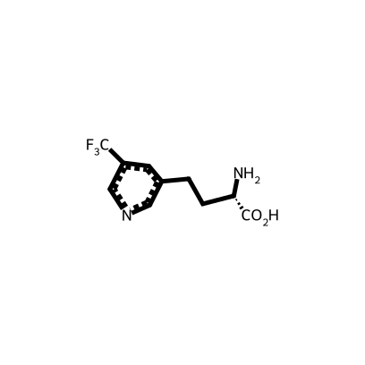 N[C@@H](CCc1cncc(C(F)(F)F)c1)C(=O)O